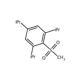 CC(C)c1cc(C(C)C)c(S(C)(=O)=O)c(C(C)C)c1